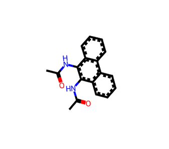 CC(=O)Nc1c(NC(C)=O)c2ccccc2c2ccccc12